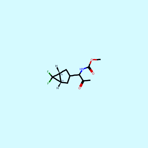 COC(=O)NC(C(C)=O)C1C[C@@H]2[C@H](C1)C2(F)F